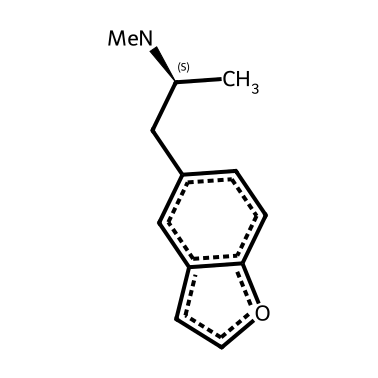 CN[C@@H](C)Cc1ccc2occc2c1